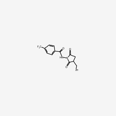 CC(C)CC1CC(=O)N(NC(=O)c2ccc(C(F)(F)F)cc2)C1=O